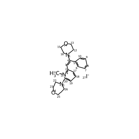 C[n+]1c(/C=C(\c2ccccc2)N2CCOCC2)cccc1N1CCOCC1.[I-]